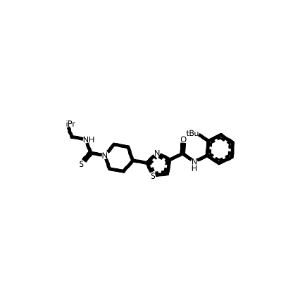 CC(C)CNC(=S)N1CCC(c2nc(C(=O)Nc3ccccc3C(C)(C)C)cs2)CC1